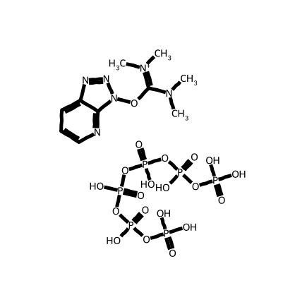 CN(C)C(On1nnc2cccnc21)=[N+](C)C.O=P(O)(O)OP(=O)(O)OP(=O)(O)OP(=O)(O)OP(=O)(O)OP(=O)(O)O